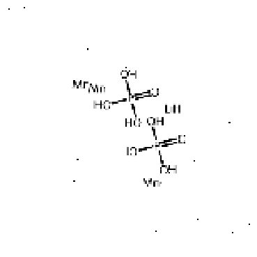 O=P(O)(O)O.O=P(O)(O)O.[LiH].[Mn].[Mn].[Mn]